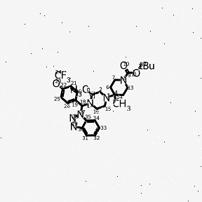 C[C@H]1CN(C2(C)CCN(C(=O)OC(C)(C)C)CC2)CCN1C(c1ccc(OC(F)(F)F)cc1)n1nnc2ccccc21